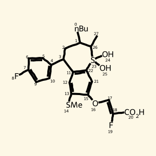 CCCCC1CC(c2ccc(F)cc2)c2cc(SC)c(O/C=C(\F)C(=O)O)cc2S(O)(O)C1C